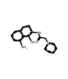 Nc1cccc2ccc(NC(=O)C[n+]3ccccc3)c(O)c12